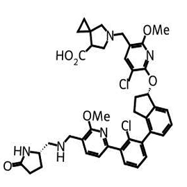 COc1nc(-c2cccc(-c3cccc4c3CC[C@@H]4Oc3nc(OC)c(CN4CC(C(=O)O)C5(CC5)C4)cc3Cl)c2Cl)ccc1CNC[C@@H]1CCC(=O)N1